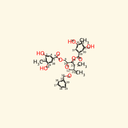 Cc1c(O)cc(C(=O)OCC2O[C@@H](OCc3ccccc3)C(C)[C@@H](C)[C@@H]2OC(=O)c2cc(O)c(C)c(O)c2)cc1O